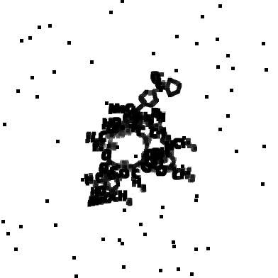 CC[C@H]1OC(=O)[C@H](C)[C@@H](O[C@H]2C[C@@](C)(OC)[C@@H](O)[C@H](C)O2)[C@H](C)[C@@H](O[C@@H]2O[C@H](C)C[C@H](N(C)CCc3cn([C@H](CF)[C@H](OC)c4ccc([S+]([O-])C5CCCC5)cc4)nn3)[C@H]2O)[C@](C)(O)C[C@@H](C)CN(C)[C@H](C)[C@@H](O)[C@]1(C)O